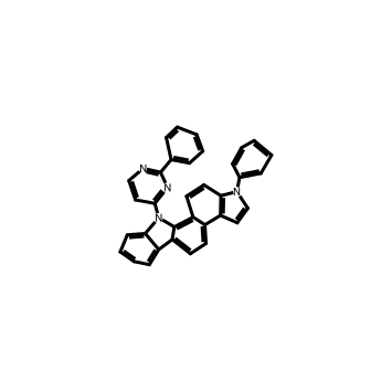 c1ccc(-c2nccc(-n3c4ccccc4c4ccc5c6ccn(-c7ccccc7)c6ccc5c43)n2)cc1